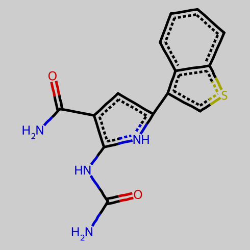 NC(=O)Nc1[nH]c(-c2csc3ccccc23)cc1C(N)=O